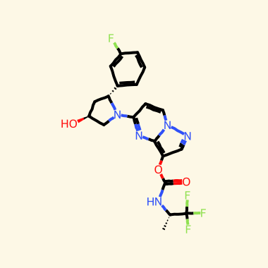 C[C@H](NC(=O)Oc1cnn2ccc(N3C[C@@H](O)C[C@@H]3c3cccc(F)c3)nc12)C(F)(F)F